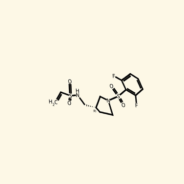 C=CS(=O)(=O)NC[C@H]1CCN(S(=O)(=O)c2c(F)cccc2F)C1